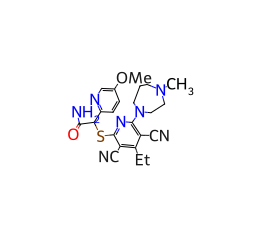 CCc1c(C#N)c(SC(C(N)=O)c2ccc(OC)cn2)nc(N2CCCN(C)CC2)c1C#N